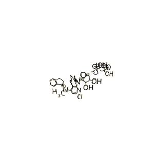 CN(c1cc(Cl)nc2c1cnn2[C@@H]1O[C@H](COP(=O)(O)CP(=O)(O)O)C(O)C1O)[C@@H]1CCc2ccccc21